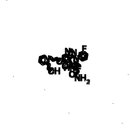 COc1cc2c(N(c3cccc(F)c3)c3cc(CC(N)=O)[nH]n3)ncnc2cc1OCCCN1CCCCC1CCO